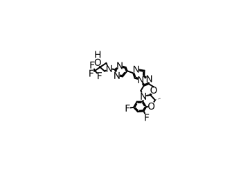 Cc1nc2cnc(-c3cnc(N4CC(O)(C(F)(F)F)C4)nc3)cn2c1CN1C(=O)[C@H](C)Oc2c(F)cc(F)cc21